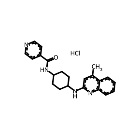 Cc1cc(NC2CCC(NC(=O)c3ccncc3)CC2)nc2ccccc12.Cl